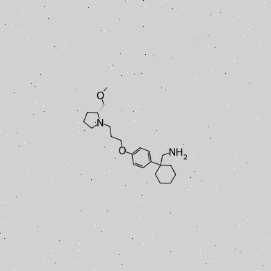 COC[C@H]1CCCN1CCCOc1ccc(C2(CN)CCCCC2)cc1